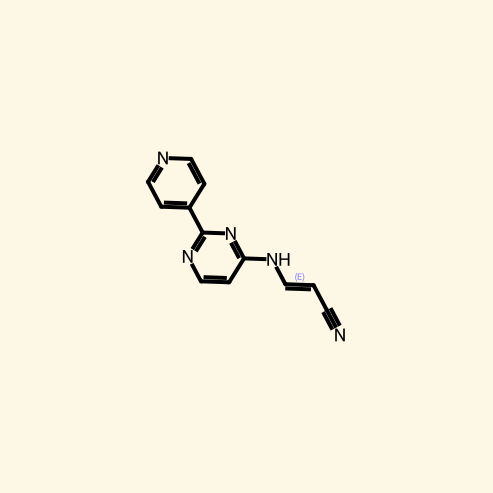 N#C/C=C/Nc1ccnc(-c2ccncc2)n1